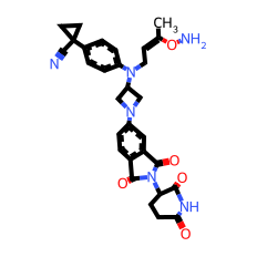 C/C(=C/CN(c1ccc(C2(C#N)CC2)cc1)C1CN(c2ccc3c(c2)C(=O)N(C2CCC(=O)NC2=O)C3=O)C1)ON